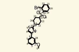 COc1cccc(-c2csc(N3CCC(S(=O)(=O)c4ccccc4Br)CC3)n2)c1